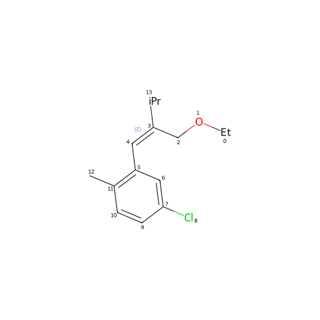 CCOC/C(=C\c1cc(Cl)ccc1C)C(C)C